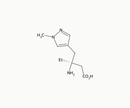 CC[C@@](N)(CC(=O)O)Cc1cnn(C)c1